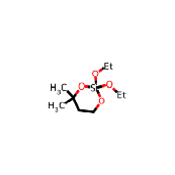 CCO[Si]1(OCC)OCCC(C)(C)O1